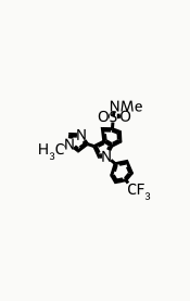 CNS(=O)(=O)c1ccc2c(c1)c(-c1cn(C)cn1)cn2-c1ccc(C(F)(F)F)cc1